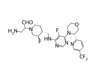 NCC(C=O)N1CC[C@H](CNc2ncnc(N3CCOC[C@@H]3c3ccc(C(F)(F)F)cn3)c2F)[C@@H](F)C1